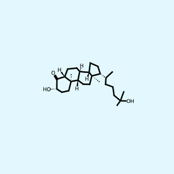 CC(CCCC(C)(C)O)[C@H]1CC[C@H]2[C@@H]3CC[C@H]4C(=O)[C@@H](O)CC[C@]4(C)[C@H]3CC[C@]12C